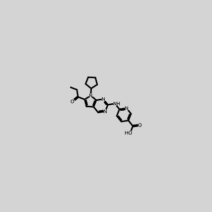 CCC(=O)c1cc2cnc(Nc3ccc(C(=O)O)cn3)nc2n1C1CCCC1